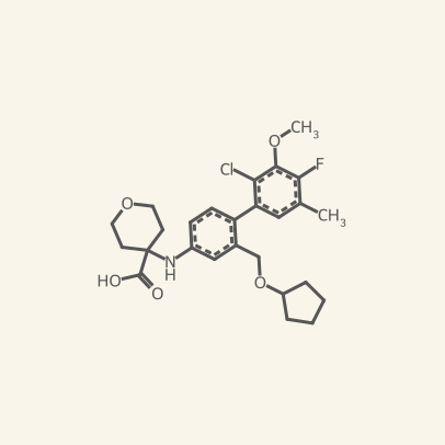 COc1c(F)c(C)cc(-c2ccc(NC3(C(=O)O)CCOCC3)cc2COC2CCCC2)c1Cl